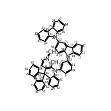 C=N/C=C\C1=C(C)N(c2cccc(-n3c4ccccc4c4cc(-n5c6ccccc6c6ccccc65)ccc43)c2)c2ccccc2C1(c1ccccc1)c1ccccc1